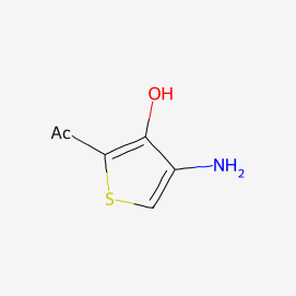 CC(=O)c1scc(N)c1O